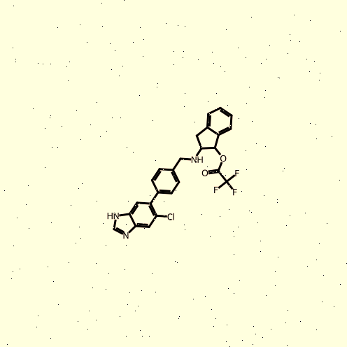 O=C(OC1c2ccccc2CC1NCc1ccc(-c2cc3[nH]cnc3cc2Cl)cc1)C(F)(F)F